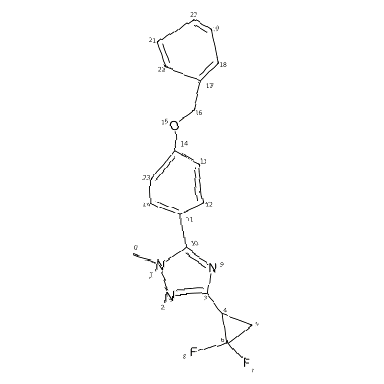 Cn1nc(C2CC2(F)F)nc1-c1ccc(OCc2ccccc2)cc1